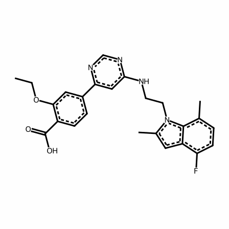 CCOc1cc(-c2cc(NCCn3c(C)cc4c(F)ccc(C)c43)ncn2)ccc1C(=O)O